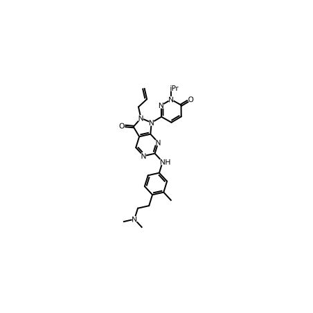 C=CCn1c(=O)c2cnc(Nc3ccc(CCN(C)C)c(C)c3)nc2n1-c1ccc(=O)n(C(C)C)n1